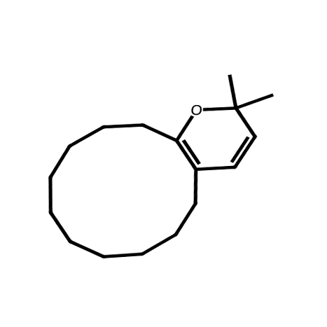 CC1(C)C=CC2=C(CCCCCCCCCC2)O1